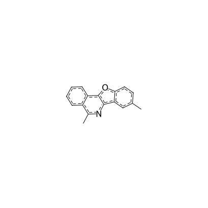 Cc1ccc2oc3c4ccccc4c(C)nc3c2c1